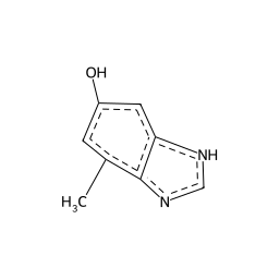 Cc1cc(O)cc2[nH]cnc12